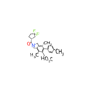 Cc1ccc(-c2c(C)c3c(c(C)c2CC(=O)O)CN(C(=O)C2CCC(F)(F)C2)C3)cc1